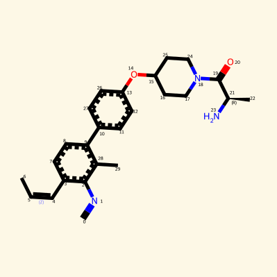 C=Nc1c(/C=C\C)ccc(-c2ccc(OC3CCN(C(=O)[C@@H](C)N)CC3)cc2)c1C